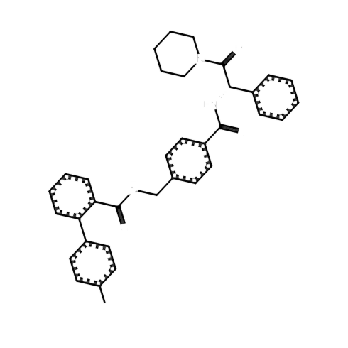 O=C(N[C@H](C(=O)N1CCCCC1)c1ccccc1)c1ccc(CNC(=O)c2ccccc2-c2ccc(C(F)(F)F)cc2)cc1